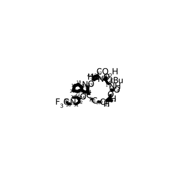 CC(C)(C)[C@@H]1NC(=O)O[C@@H]2C[C@H]2CCCCCc2c(nc3ccccc3c2OC2CCN(CC(F)(F)F)CC2)O[C@@H]2C[C@@H](C(=O)O)N(C2)C1=O